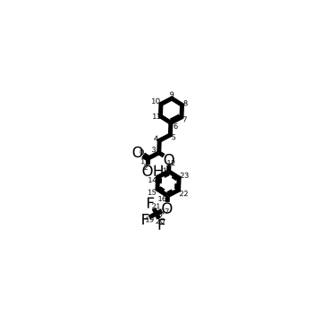 O=C(O)C(CCC1=CCCCC1)Oc1ccc(OC(F)(F)F)cc1